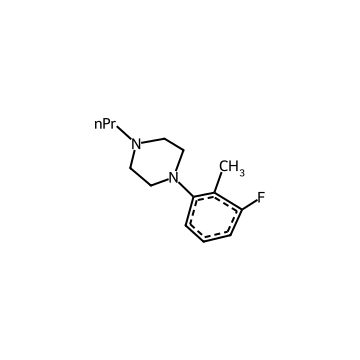 CCCN1CCN(c2cccc(F)c2C)CC1